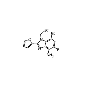 CCc1cc(F)c(N)c2nc(-c3cc[c]o3)n(CC(C)C)c12